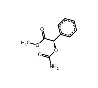 COC(=O)[C@H](OC(N)=O)c1ccccc1